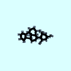 Fc1cc(F)c(-c2ccc3c4c(cccc24)-c2ccccc2-3)c(F)c1